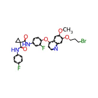 COc1cc2c(Oc3ccc(NC(=O)C4(C(=O)Nc5ccc(F)cc5)CC4)cc3F)ccnc2cc1OCCCBr